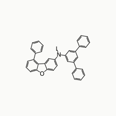 IN(c1cc(-c2ccccc2)cc(-c2ccccc2)c1)c1ccc2oc3cccc(-c4ccccc4)c3c2c1